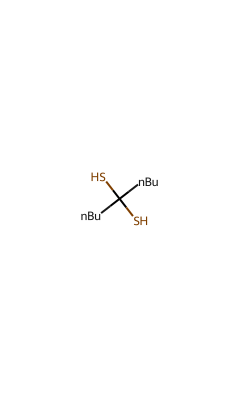 CCCCC(S)(S)CCCC